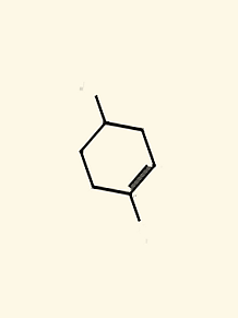 CCC[C]1CC=C(C)CC1